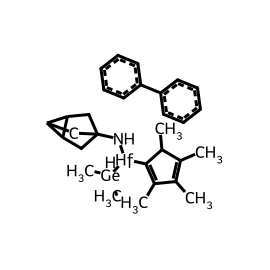 CC1=C(C)C(C)[C]([Hf]([NH]C23CC4C(C2)C4C3)[GeH]([CH3])[CH3])=C1C.c1ccc(-c2ccccc2)cc1